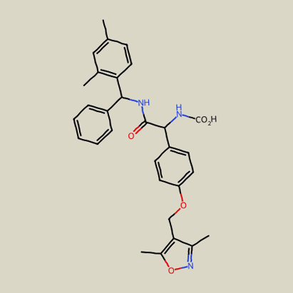 Cc1ccc(C(NC(=O)C(NC(=O)O)c2ccc(OCc3c(C)noc3C)cc2)c2ccccc2)c(C)c1